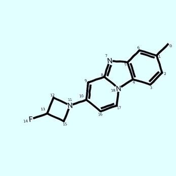 Cc1ccc2c(c1)nc1cc(N3CC(F)C3)ccn12